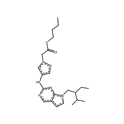 CCCCOC(=O)Cn1cc(Nc2ncc3ccn(CC(CC)C(C)C)c3n2)cn1